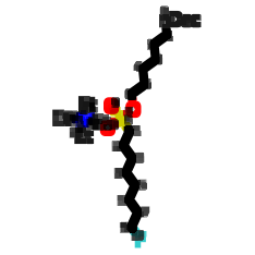 CCCCCCCCCCCCCCCCOS(=O)(=O)CCCCCCCCF.CC[N+](CC)(CC)CC